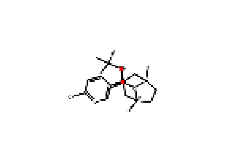 CC(C)(C)OC(=O)N1[C@@H]2CC[C@H]1CC(O)(c1ccc(Cl)nc1)C2